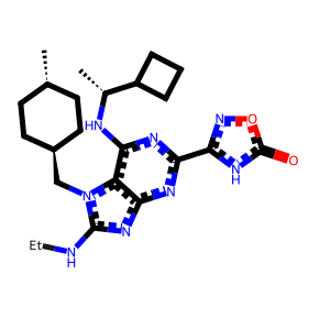 CCNc1nc2nc(-c3noc(=O)[nH]3)nc(N[C@H](C)C3CCC3)c2n1C[C@H]1CC[C@H](C)CC1